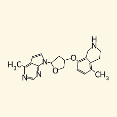 Cc1ccc(OC2COC(n3ccc4c(C)ncnc43)C2)c2c1CCNC2